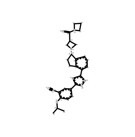 [C-]#[N+]c1cc(-c2nc(-c3cccc4c3CC[C@@H]4N3CC(C(=O)N4CCC4)C3)no2)ccc1OC(C)C